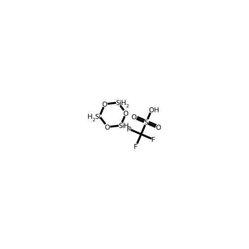 O1[SiH2]O[SiH2]O[SiH2]1.O=S(=O)(O)C(F)(F)F